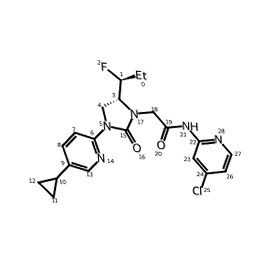 CC[C@H](F)[C@H]1CN(c2ccc(C3CC3)cn2)C(=O)N1CC(=O)Nc1cc(Cl)ccn1